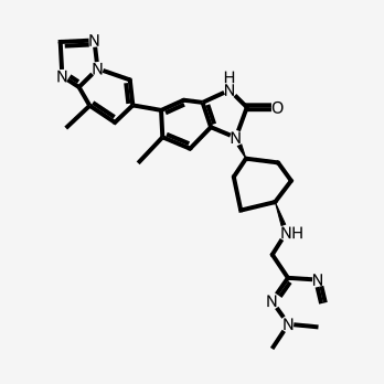 C=N/C(CN[C@H]1CC[C@@H](n2c(=O)[nH]c3cc(-c4cc(C)c5ncnn5c4)c(C)cc32)CC1)=N\N(C)C